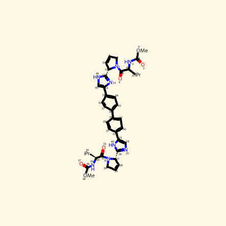 COC(=O)NC(C(=O)N1CC=C[C@H]1c1nc(-c2ccc(-c3ccc(-c4cnc([C@@H]5C=CCN5C(=O)[C@@H](NC(=O)OC)C(C)C)[nH]4)cc3)cc2)c[nH]1)C(C)C